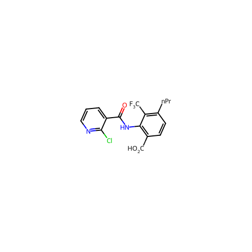 CCCc1ccc(C(=O)O)c(NC(=O)c2cccnc2Cl)c1C(F)(F)F